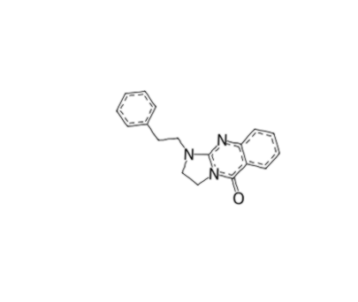 O=c1c2ccccc2nc2n1CCN2CCc1ccccc1